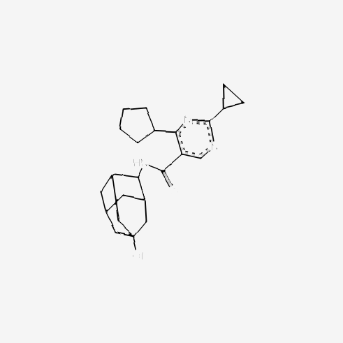 O=C(NC1C2CC3CC1CC(O)(C3)C2)c1cnc(C2CC2)nc1C1CCCC1